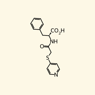 O=C(CSc1ccncc1)N[C@@H](Cc1ccccc1)C(=O)O